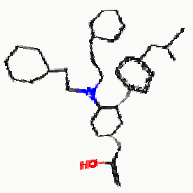 C=C(O)C[C@@H]1CC[C@@H](N(CCC2CCCCC2)CCC2CCCCC2)[C@H](c2ccc(CC(C)C)cc2)C1